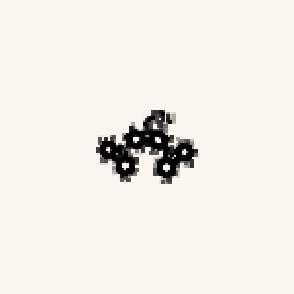 CCC(C)Cn1c2ccc(-n3c4ccccc4c4ccccc43)cc2c2cc(-n3c4ccccc4c4ccccc43)ccc21